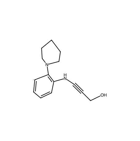 OCC#CNc1ccc[c]c1N1CCCCC1